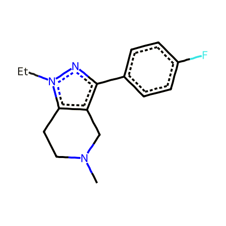 CCn1nc(-c2ccc(F)cc2)c2c1CCN(C)C2